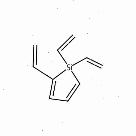 C=CC1=CC=C[Si]1(C=C)C=C